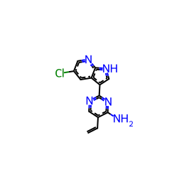 C=Cc1cnc(-c2c[nH]c3ncc(Cl)cc23)nc1N